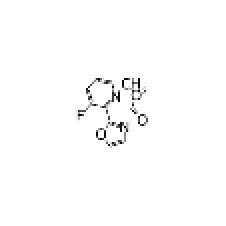 COC=O.Fc1cccnc1-c1ncco1